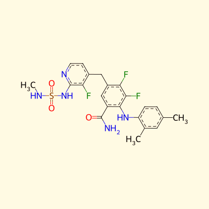 CNS(=O)(=O)Nc1nccc(Cc2cc(C(N)=O)c(Nc3ccc(C)cc3C)c(F)c2F)c1F